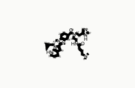 CN(C)C/C=C/C(=O)NCCN(CCc1cnc[nH]1)C(=O)c1ccc2c(c1)nc(-c1cc3c(n1CC1CC1)NCC=C3)n2C